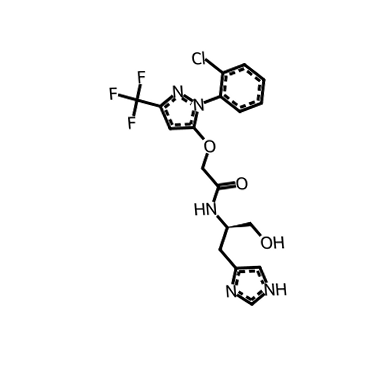 O=C(COc1cc(C(F)(F)F)nn1-c1ccccc1Cl)N[C@@H](CO)Cc1c[nH]cn1